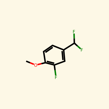 COc1ccc([C](F)F)cc1F